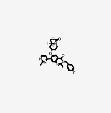 Cc1nccc(-c2cc3nc(C)n(Cc4ccc(Cl)cc4)c(=O)c3cc2O[C@H]2CCN3C(=O)OC[C@@H]3C2)n1